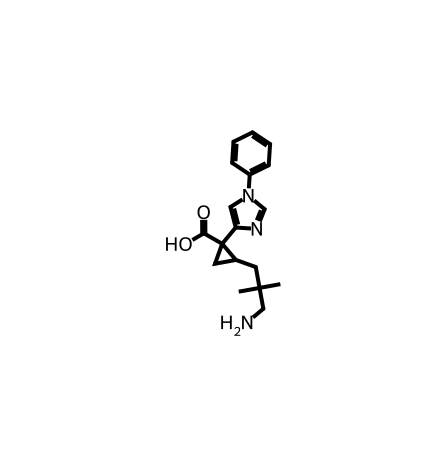 CC(C)(CN)CC1CC1(C(=O)O)c1cn(-c2ccccc2)cn1